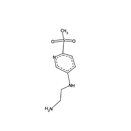 CS(=O)(=O)c1ccc(NCCN)cn1